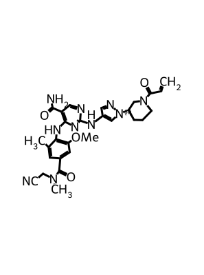 C=CC(=O)N1CCC[C@@H](n2cc(Nc3ncc(C(N)=O)c(Nc4c(C)cc(C(=O)N(C)CC#N)cc4OC)n3)cn2)C1